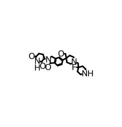 O=C1CC[C@H](N2Cc3c(ccc4c3OCC43CCN(CC4(F)CCNCC4)CC3)C2=O)C(=O)N1